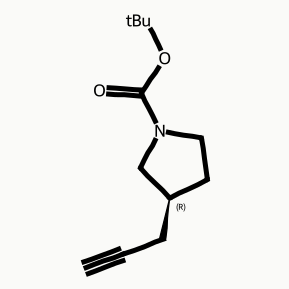 C#CC[C@@H]1CCN(C(=O)OC(C)(C)C)C1